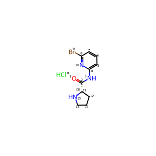 Cl.O=C(Nc1cccc(Br)n1)[C@@H]1CCCN1